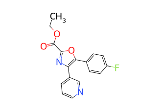 CCOC(=O)c1nc(-c2cccnc2)c(-c2ccc(F)cc2)o1